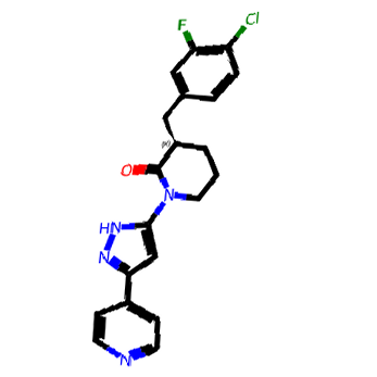 O=C1[C@@H](Cc2ccc(Cl)c(F)c2)CCCN1c1cc(-c2ccncc2)n[nH]1